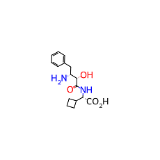 N[C@H](Cc1ccccc1)[C@H](O)C(=O)N[C@H](C(=O)O)C1CCC1